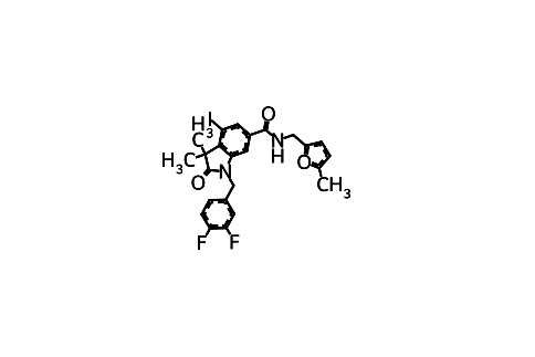 Cc1ccc(CNC(=O)c2cc(I)c3c(c2)N(Cc2ccc(F)c(F)c2)C(=O)C3(C)C)o1